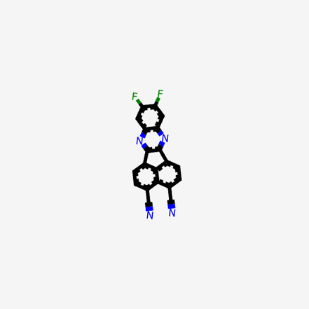 N#Cc1ccc2c3c(ccc(C#N)c13)-c1nc3cc(F)c(F)cc3nc1-2